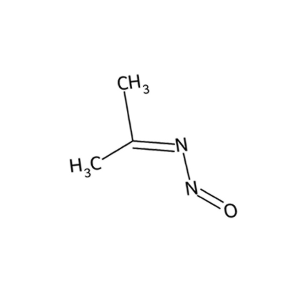 CC(C)=NN=O